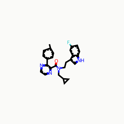 Cc1ccc(-c2nccnc2C(=O)N(CCc2c[nH]c3ccc(F)cc23)CC2CC2)cc1